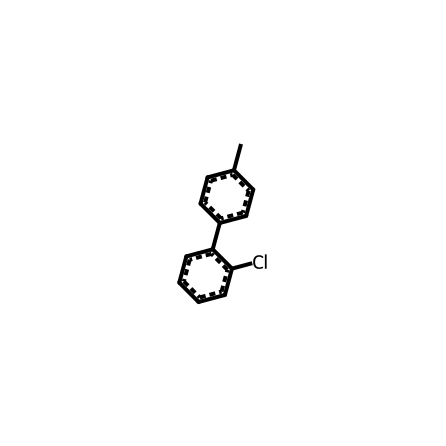 Cc1ccc(-c2ccccc2Cl)cc1